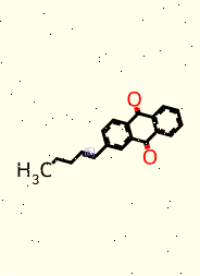 CCC/C=C/c1ccc2c(c1)C(=O)c1ccccc1C2=O